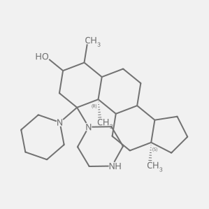 CC1C(O)CC(N2CCCCC2)(N2CCNCC2)[C@@]2(C)C1CCC1C3CCC[C@@]3(C)CCC12